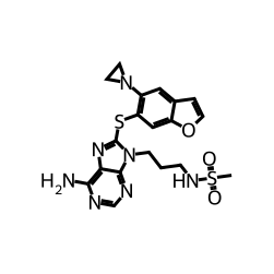 CS(=O)(=O)NCCCn1c(Sc2cc3occc3cc2N2CC2)nc2c(N)ncnc21